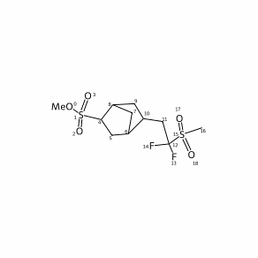 COS(=O)(=O)C1CC2CC1CC2CC(F)(F)S(C)(=O)=O